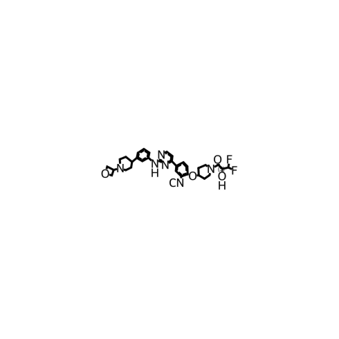 N#Cc1cc(-c2ccnc(Nc3cccc(C4CCN(C5COC5)CC4)c3)n2)ccc1OC1CCN(C(=O)[C@H](O)C(F)F)CC1